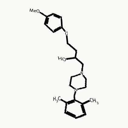 COc1ccc(OCCC(O)CN2C[CH]N(c3c(C)cccc3C)CC2)cc1